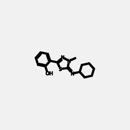 Cn1nc(-c2ccccc2O)s/c1=N/C1CCCCC1